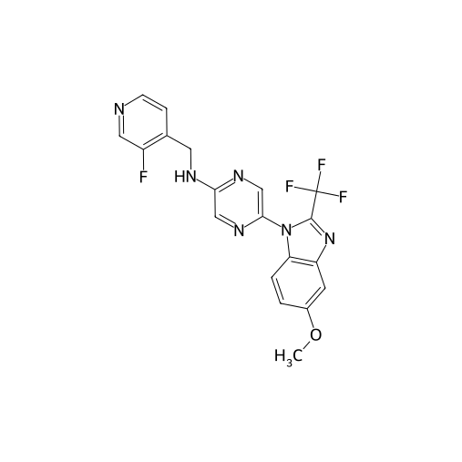 COc1ccc2c(c1)nc(C(F)(F)F)n2-c1cnc(NCc2ccncc2F)cn1